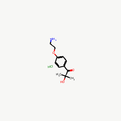 CC(C)(O)C(=O)c1ccc(OCCN)cc1.Cl